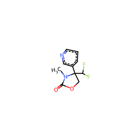 CN1C(=O)OCC1(c1cccnc1)C(F)F